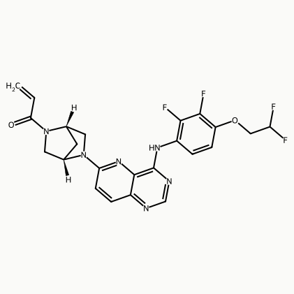 C=CC(=O)N1C[C@@H]2C[C@H]1CN2c1ccc2ncnc(Nc3ccc(OCC(F)F)c(F)c3F)c2n1